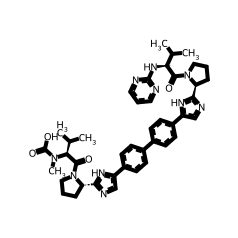 CC(C)[C@H](Nc1ncccn1)C(=O)N1CCC[C@H]1c1ncc(-c2ccc(-c3ccc(-c4cnc([C@@H]5CCCN5C(=O)[C@H](C(C)C)N(C)C(=O)O)[nH]4)cc3)cc2)[nH]1